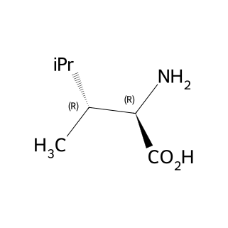 CC(C)[C@@H](C)[C@@H](N)C(=O)O